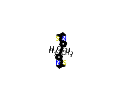 CC(C)(c1ccc2c(c1)c1scc3ccn2c31)C(C)(C)c1ccc2c(c1)c1scc3ccn2c31